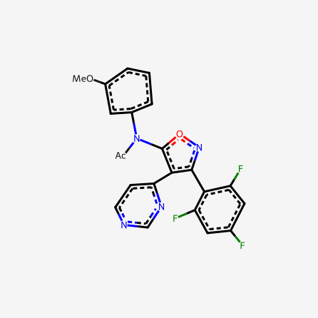 COc1cccc(N(C(C)=O)c2onc(-c3c(F)cc(F)cc3F)c2-c2ccncn2)c1